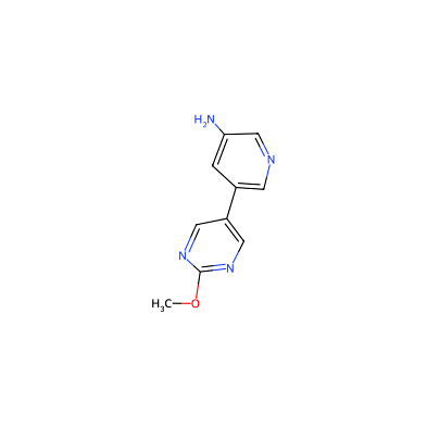 COc1ncc(-c2cncc(N)c2)cn1